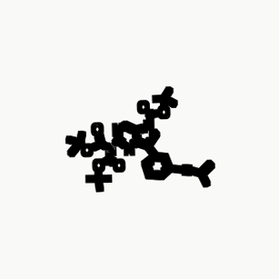 C=C(C)C#Cc1cccc(-c2cn(C(=O)OC(C)(C)C)c3cnc(N(C(=O)OC(C)(C)C)C(=O)OC(C)(C)C)nc23)c1